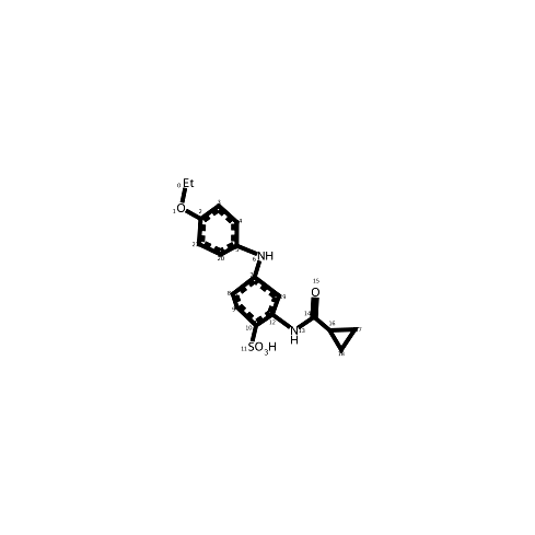 CCOc1ccc(Nc2ccc(S(=O)(=O)O)c(NC(=O)C3CC3)c2)cc1